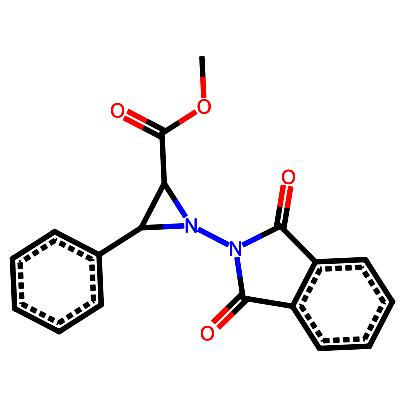 COC(=O)C1C(c2ccccc2)N1N1C(=O)c2ccccc2C1=O